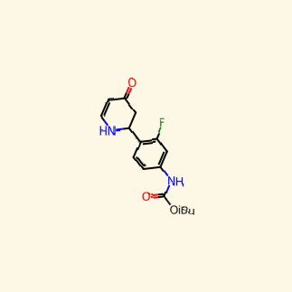 CC(C)COC(=O)Nc1ccc(C2CC(=O)C=CN2)c(F)c1